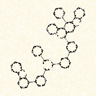 c1ccc(-c2nc(-c3cccc(-c4cccc(-c5nc6ccccc6c6c(-c7ccccc7)c7c(cc56)oc5ccccc57)c4)c3)nc(-c3cccc(-c4cccc5c4oc4ccccc45)c3)n2)cc1